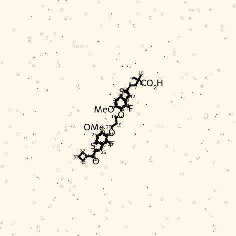 COc1cc2sc(CCC(C)(C)C(=O)O)cc2c(F)c1OCCCOc1c(OC)cc2sc(C(=O)C3CCC3)cc2c1F